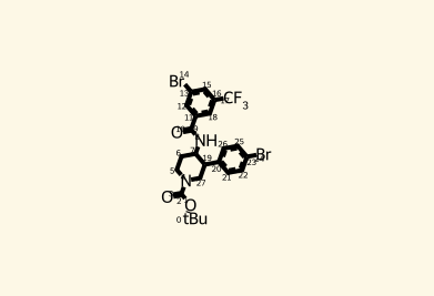 CC(C)(C)OC(=O)N1CCC(NC(=O)c2cc(Br)cc(C(F)(F)F)c2)C(c2ccc(Br)cc2)C1